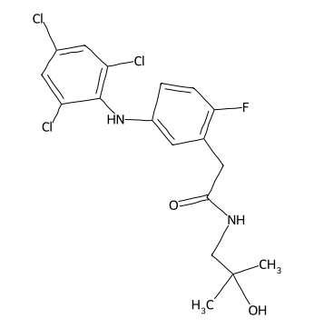 CC(C)(O)CNC(=O)Cc1cc(Nc2c(Cl)cc(Cl)cc2Cl)ccc1F